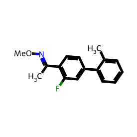 CO/N=C(\C)c1ccc(-c2ccccc2C)cc1F